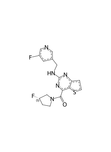 O=C(c1nc(NCc2cncc(F)c2)nc2ccsc12)N1CC[C@H](F)C1